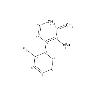 C=C/C(CCCC)=C(\C=C/C)C1CCC=CC1I